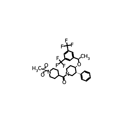 C[C@@H](O[C@H]1CCN(C(=O)C2CCN(S(C)(=O)=O)CC2)C[C@H]1c1ccccc1)c1cc(C(F)(F)F)cc(C(F)(F)F)c1